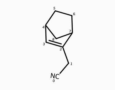 N#CCC1=CC2CCC1C2